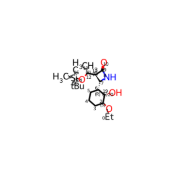 CCO[C@H]1CCC[C@H](C2NC(=O)[C@@H]2[C@@H](C)O[Si](C)(C)C(C)(C)C)[C@@H]1O